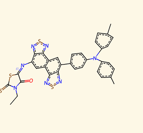 CCN1C(=O)/C(=N\c2cc3c(cc(-c4ccc(N(c5ccc(C)cc5)c5ccc(C)cc5)cc4)c4nsnc43)c3nsnc23)SC1=S